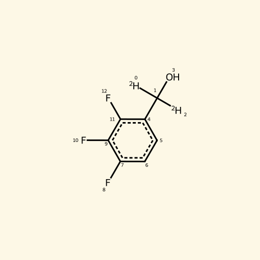 [2H]C([2H])(O)c1ccc(F)c(F)c1F